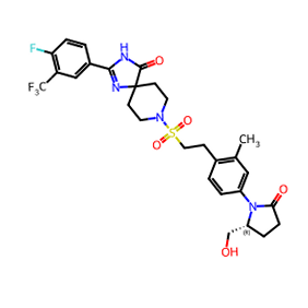 Cc1cc(N2C(=O)CC[C@@H]2CO)ccc1CCS(=O)(=O)N1CCC2(CC1)N=C(c1ccc(F)c(C(F)(F)F)c1)NC2=O